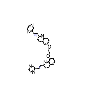 C(=C\c1ccc2cc(OCCOc3cccc4ccc(/C=C/c5cnccn5)nc34)ccc2n1)/c1cnccn1